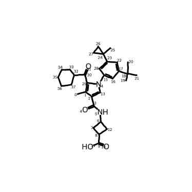 Cc1c(C(=O)NC2CC(C(=O)O)C2)cn(-c2cc(C(C)(C)C)cc(C3(C)CC3)c2)c1C(=O)C1CCCCC1